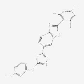 Cc1cc(O)cc(C)c1-c1nc2ccc(-c3nnc(Nc4cccc(C(F)(F)F)c4)o3)cc2[nH]1